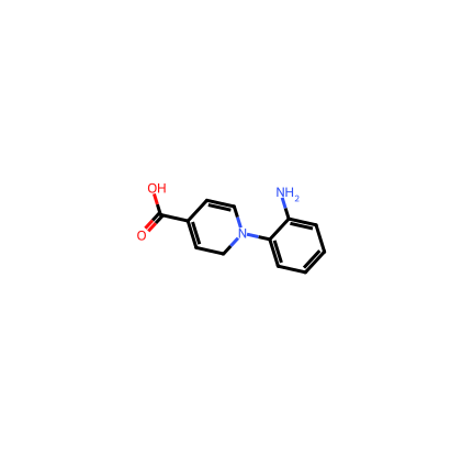 Nc1ccccc1N1C=CC(C(=O)O)=CC1